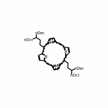 CCCCCCCCCCC(CCCCCCCC)CCc1c2nc(cc3ccc([nH]3)c(CCC(CCCCCCCC)CCCCCCCCCC)c3nc(cc4ccc1[nH]4)C=C3)C=C2